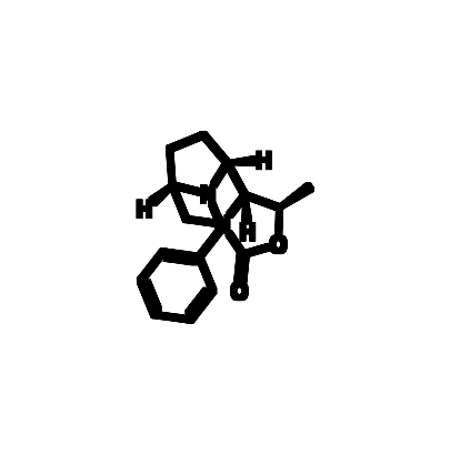 C[C@H]1OC(=O)N2C[C@@H]3CC[C@H]([C@H]12)N3Cc1ccccc1